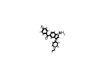 CCN1CC=C(c2cn(N)c3ccc(C(=O)c4ccc(F)cc4)cc23)CC1